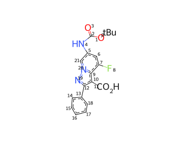 CC(C)(C)OC(=O)Nc1cc(F)c2c(C(=O)O)c(-c3ccccc3)nn2c1